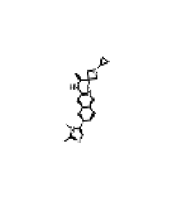 C=C(Nc1cc2cc(-c3cnc(C)n3C)ccc2cn1)C1(F)CN(C2CC2)C1